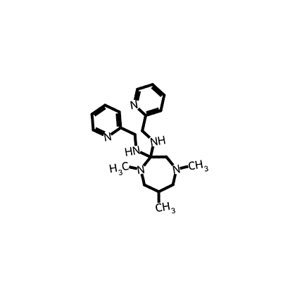 CC1CN(C)CC(NCc2ccccn2)(NCc2ccccn2)N(C)C1